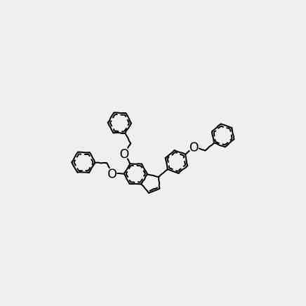 C1=CC(c2ccc(OCc3ccccc3)cc2)c2cc(OCc3ccccc3)c(OCc3ccccc3)cc21